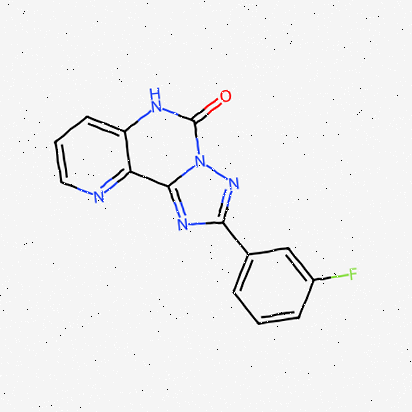 O=c1[nH]c2cccnc2c2nc(-c3cccc(F)c3)nn12